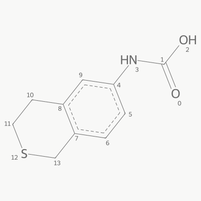 O=C(O)Nc1ccc2c(c1)CCSC2